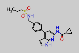 CCCS(=O)(=O)NCc1ccc(-c2cc(NC(=O)C3CC3)nc3[nH]ccc23)cc1